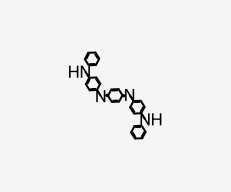 C1=CC(=Nc2ccc(Nc3ccccc3)cc2)C=CC1=Nc1ccc(Nc2ccccc2)cc1